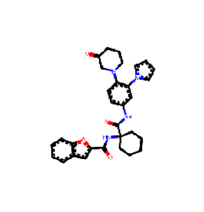 O=C1CCCN(c2ccc(NC(=O)C3(NC(=O)c4cc5ccccc5o4)CCCCC3)cc2-n2cccc2)C1